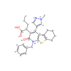 CCCC(C(=O)O)c1c(-c2cnn(C)c2)c2c3c(sc2n(Cc2ccccc2)c1=O)CCCC3